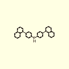 c1ccc2c(-c3ccc(Pc4ccc(-c5cccc6ccccc56)cc4)cc3)cccc2c1